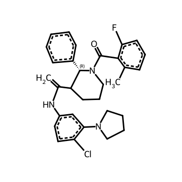 C=C(Nc1ccc(Cl)c(N2CCCC2)c1)C1CCCN(C(=O)c2c(C)cccc2F)[C@H]1c1ccccc1